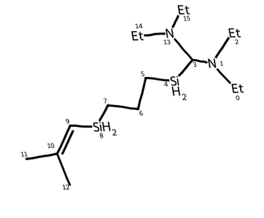 CCN(CC)C([SiH2]CCC[SiH2]C=C(C)C)N(CC)CC